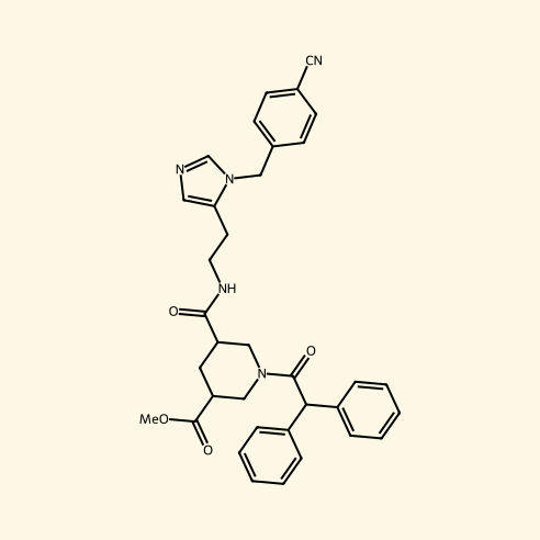 COC(=O)C1CC(C(=O)NCCc2cncn2Cc2ccc(C#N)cc2)CN(C(=O)C(c2ccccc2)c2ccccc2)C1